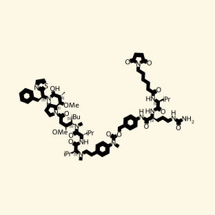 CC[C@H](C)[C@@H]([C@@H](CC(=O)N1CCC[C@H]1C(OC)[C@@H](C)C(O)N[C@@H](Cc1ccccc1)c1nccs1)OC)N(C)C(=O)[C@@H](NC(=O)[C@H](C(C)C)N(C)CCc1ccc(N(C)C(=O)OCc2ccc(NC(=O)[C@H](CCCNC(N)=O)NC(=O)[C@@H](NC(=O)CCCCCN3C(=O)C=CC3=O)C(C)C)cc2)cc1)C(C)C